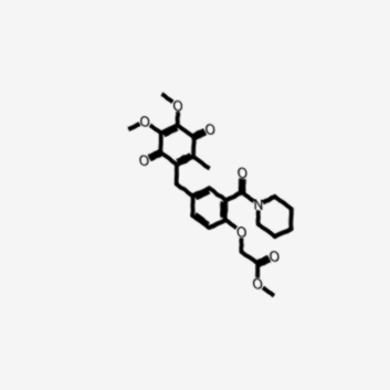 COC(=O)COc1ccc(CC2=C(C)C(=O)C(OC)=C(OC)C2=O)cc1C(=O)N1CCCCC1